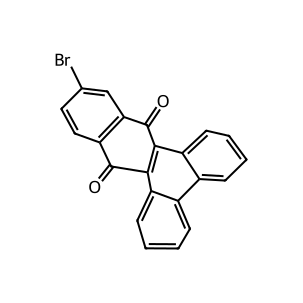 O=C1c2ccc(Br)cc2C(=O)c2c1c1ccccc1c1ccccc21